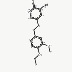 CCOc1ccc(CCc2cc(O)c(=O)[nH]n2)cc1OC